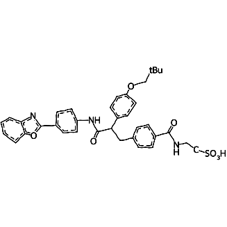 CC(C)(C)COc1ccc(C(Cc2ccc(C(=O)NCCS(=O)(=O)O)cc2)C(=O)Nc2ccc(-c3nc4ccccc4o3)cc2)cc1